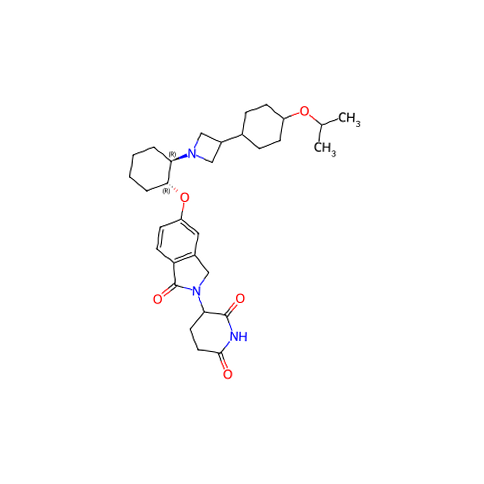 CC(C)OC1CCC(C2CN([C@@H]3CCCC[C@H]3Oc3ccc4c(c3)CN(C3CCC(=O)NC3=O)C4=O)C2)CC1